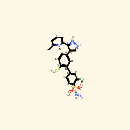 Cc1cccc(-c2n[nH]cc2-c2ccc(F)c(-c3ccc(S(N)(=O)=O)c(Cl)c3)c2)n1